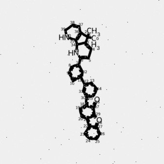 CC1(C)C2=CC=C(c3cccc(-c4ccc5oc6c(ccc7c8ccccc8oc76)c5c4)c3)NC2C2=C1C=CCN2